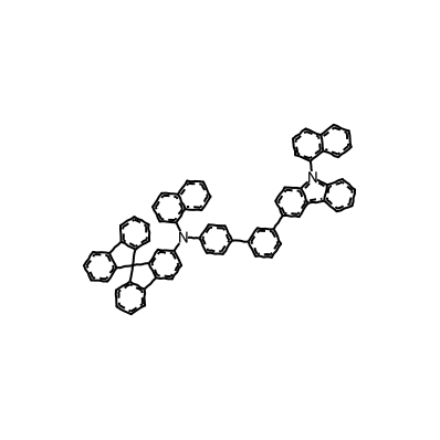 c1cc(-c2ccc(N(c3ccc4c(c3)C3(c5ccccc5-c5ccccc53)c3ccccc3-4)c3cccc4ccccc34)cc2)cc(-c2ccc3c(c2)c2ccccc2n3-c2cccc3ccccc23)c1